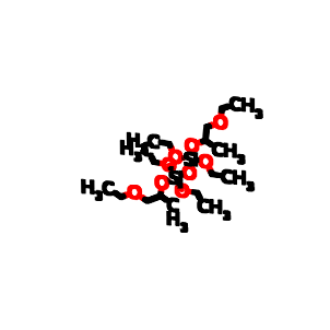 CCOCC(C)O[Si](OCC)(OCC)O[Si](OCC)(OCC)OC(C)COCC